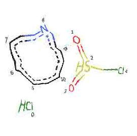 Cl.O=[SH](=O)Cl.c1ccncc1